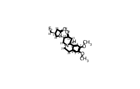 COc1cc2c(cc1OC)[C@@H]1CC(=O)[C@@H](N3C[C@@H](CF)CC3=O)CN1CC2